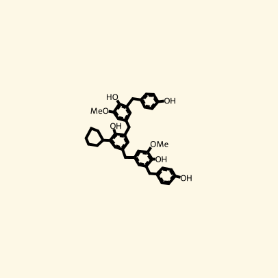 COc1cc(Cc2cc(Cc3cc(Cc4ccc(O)cc4)c(O)c(OC)c3)c(O)c(C3CCCCC3)c2)cc(Cc2ccc(O)cc2)c1O